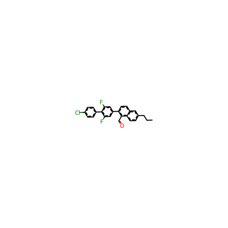 CCCc1ccc2c(C=O)c(-c3cc(F)c(-c4ccc(Cl)cc4)c(F)c3)ccc2c1